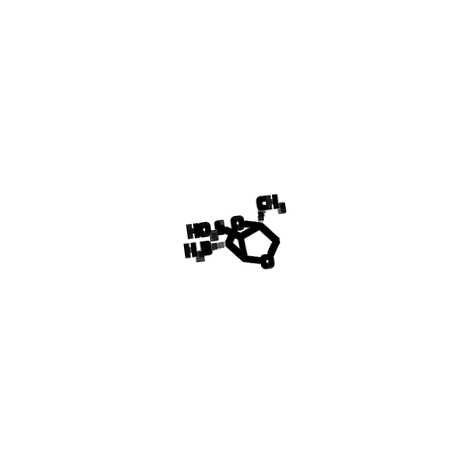 B[C@@H]1O[C@@]2(C)COC1C2S(=O)(=O)O